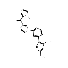 COc1ncc(-c2cccc(-n3cnc(C(=O)c4nccn4C)c3)c2)c(OC)n1